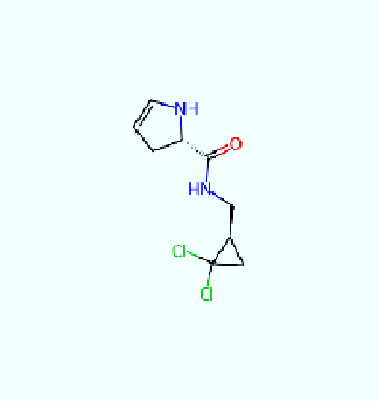 O=C(NC[C@H]1CC1(Cl)Cl)[C@@H]1CC=CN1